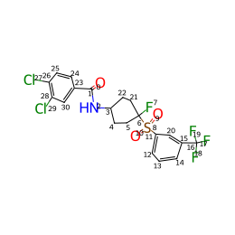 O=C(NC1CCC(F)(S(=O)(=O)c2cccc(C(F)(F)F)c2)CC1)c1ccc(Cl)c(Cl)c1